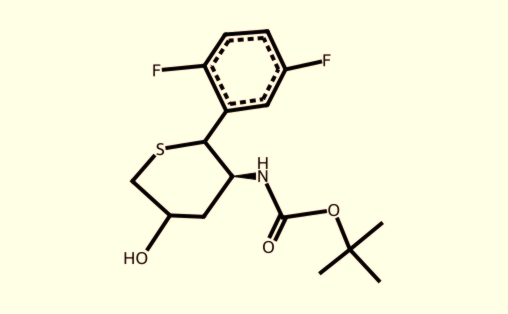 CC(C)(C)OC(=O)N[C@H]1CC(O)CSC1c1cc(F)ccc1F